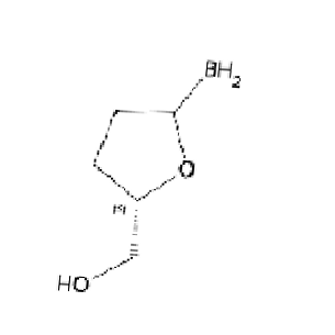 BC1CC[C@@H](CO)O1